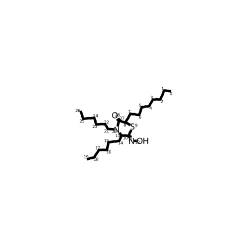 CCCCCCCCC1SC(=NO)C(CCCCCC)N(CCCCCC)C1=O